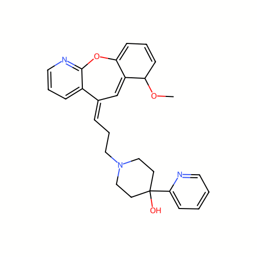 COC1C=CC=C2Oc3ncccc3C(=CCCN3CCC(O)(c4ccccn4)CC3)C=C21